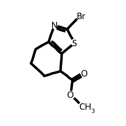 COC(=O)C1CCCc2nc(Br)sc21